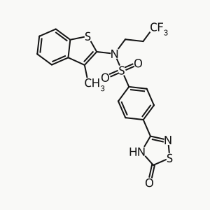 Cc1c(N(CCC(F)(F)F)S(=O)(=O)c2ccc(-c3nsc(=O)[nH]3)cc2)sc2ccccc12